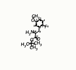 COc1[c]cc(F)c(CC(N)C(=O)OC(C)(C)C)c1